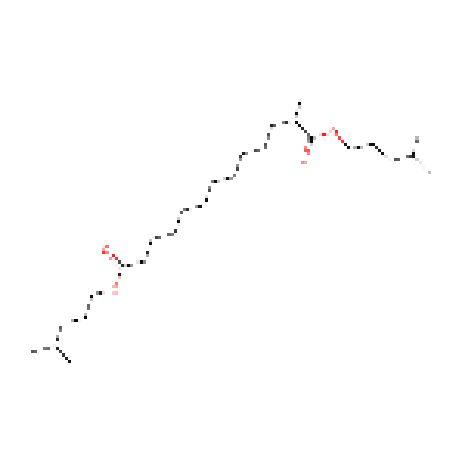 CC(C)CCCOC(=O)CCCCCCCCCCC(C)C(=O)OCCCC(C)C